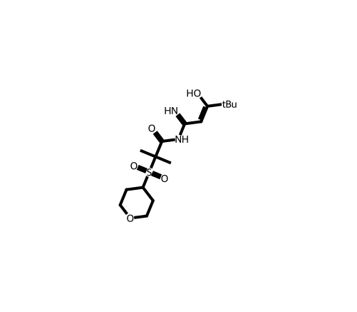 CC(C)(C)/C(O)=C/C(=N)NC(=O)C(C)(C)S(=O)(=O)C1CCOCC1